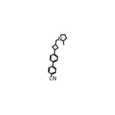 CC1CCCN1CC1CC(c2ccc(-c3ccc(C#N)cc3)cc2)C1